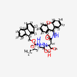 C=CC[C@H](NC(=O)OCC1c2ccccc2-c2ccccc21)C(=O)N[C@@H](CC(=O)NC1c2ccccc2Oc2ccccc21)C(=O)O